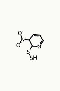 O=[N+]([O-])C1C=CC=NC1SS